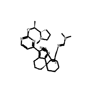 C[C@H](Oc1nccc(-c2onc3c2CCC[C@@]32CCCc3sc(/N=C/N(C)C)c(C#N)c32)n1)[C@@H]1CCCN1C